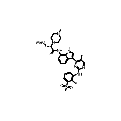 COC[C@@H](C(=O)Nc1cccc2c(-c3nc(Nc4cccc(S(C)(=O)=O)c4F)ncc3C)c[nH]c12)N1CCN(C)CC1